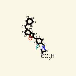 O=C(O)C1CN(Cc2ccc(-c3cc4cc(Cc5ccccc5)ccc4o3)cc2F)C1